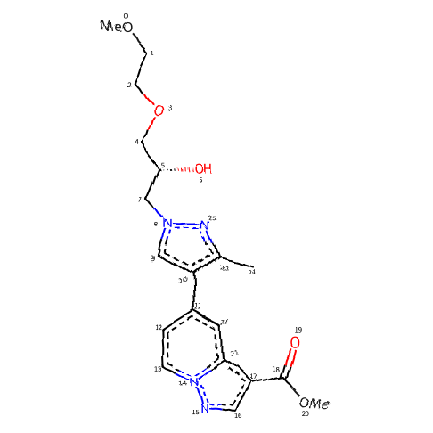 COCCOC[C@H](O)Cn1cc(-c2ccn3ncc(C(=O)OC)c3c2)c(C)n1